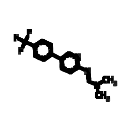 CN(C)/C=N/c1ccc(-c2ccc(C(F)(F)F)cc2)cn1